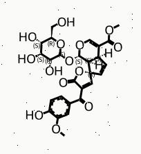 COC(=O)C1=CO[C@@H](O[C@@H]2O[C@H](CO)[C@@H](O)[C@H](O)[C@H]2O)[C@H]2[C@@H]1C=C[C@@]21C=C(C(=O)c2ccc(O)c(OC)c2)C(=O)O1